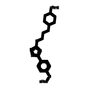 CCCCCCOc1ccc(-c2nnc(OCCCC3CCC(CCCCC)CC3)s2)cc1